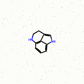 c1cc2c3c(c[nH]c3c1)CCN2